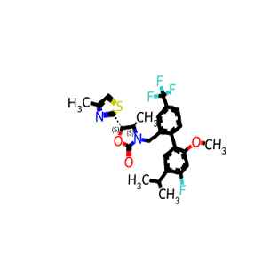 COc1cc(F)c(C(C)C)cc1-c1ccc(C(F)(F)F)cc1CN1C(=O)O[C@H](c2nc(C)cs2)[C@@H]1C